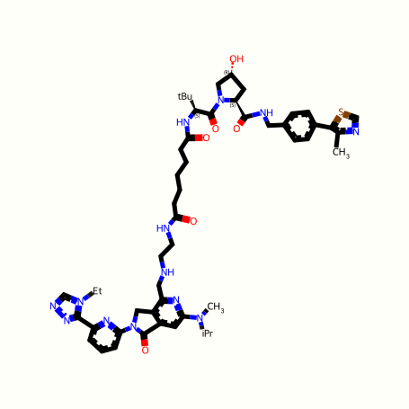 CCn1cnnc1-c1cccc(N2Cc3c(cc(N(C)C(C)C)nc3CNCCNC(=O)CCCCCC(=O)N[C@H](C(=O)N3C[C@H](O)C[C@H]3C(=O)NCc3ccc(-c4scnc4C)cc3)C(C)(C)C)C2=O)n1